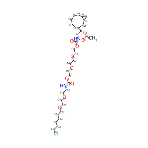 CC(=O)OC(CNC(=O)OCCOCCOCCOC(=O)NCCOCCOCCCCCCCl)C1CCCCCC2CC2C1